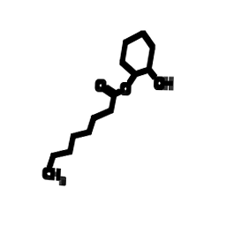 CCCCCCCC(=O)OC1CCCCC1O